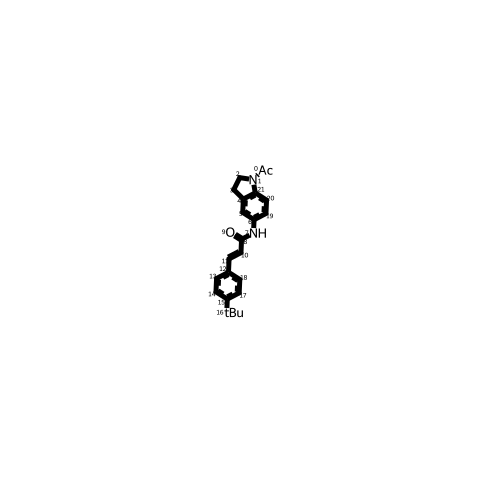 CC(=O)N1CCc2cc(NC(=O)/C=C/c3ccc(C(C)(C)C)cc3)ccc21